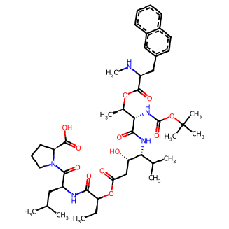 CC[C@H](OC(=O)C[C@H](O)[C@H](NC(=O)[C@@H](NC(=O)OC(C)(C)C)[C@@H](C)OC(=O)[C@H](Cc1ccc2ccccc2c1)NC)C(C)C)C(=O)N[C@@H](CC(C)C)C(=O)N1CCC[C@H]1C(=O)O